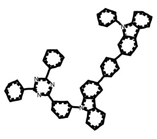 c1ccc(-c2nc(-c3ccccc3)nc(-c3cccc(-n4c5ccccc5c5cc(-c6ccc(-c7ccc8c9ccccc9n(-c9ccccc9)c8c7)cc6)ccc54)c3)n2)cc1